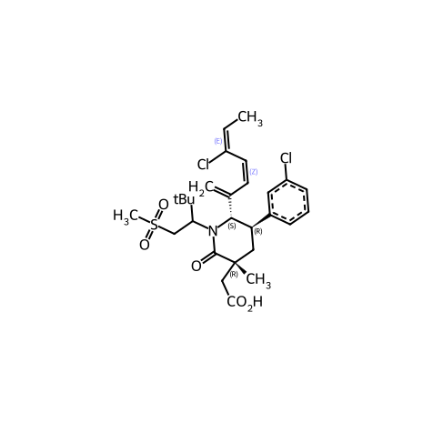 C=C(/C=C\C(Cl)=C/C)[C@@H]1[C@@H](c2cccc(Cl)c2)C[C@](C)(CC(=O)O)C(=O)N1C(CS(C)(=O)=O)C(C)(C)C